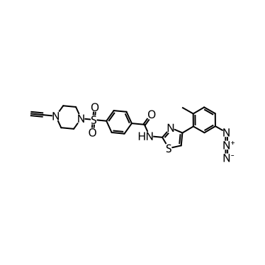 C#CN1CCN(S(=O)(=O)c2ccc(C(=O)Nc3nc(-c4cc(N=[N+]=[N-])ccc4C)cs3)cc2)CC1